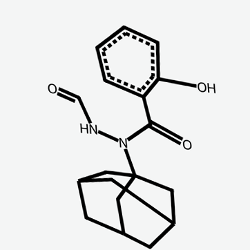 O=CNN(C(=O)c1ccccc1O)C12CC3CC(CC(C3)C1)C2